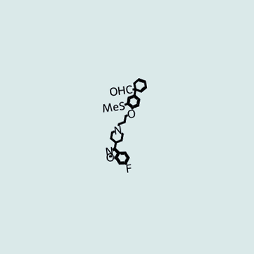 CSc1cc(C2(C=O)C=CC=CC2)ccc1OCCCN1CCC(c2noc3cc(F)ccc23)CC1